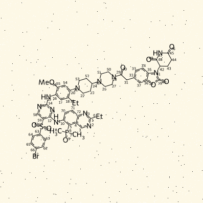 CCc1ncc2c(P(C)(C)=O)c(Nc3nc(Nc4cc(CC)c(N5CCC(N6CCN(C(=O)Cc7ccc8c(c7)oc(=O)n8C7CCC(=O)NC7=O)CC6)CC5)cc4OC)ncc3S(=O)(=O)c3ccc(Br)cc3)ccc2n1